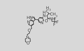 CC(C)[C@@H](Nc1cncc(-c2c[nH]c3ncc(COCCN4CCOCC4)cc23)c1)C(=O)NCC(F)(F)F